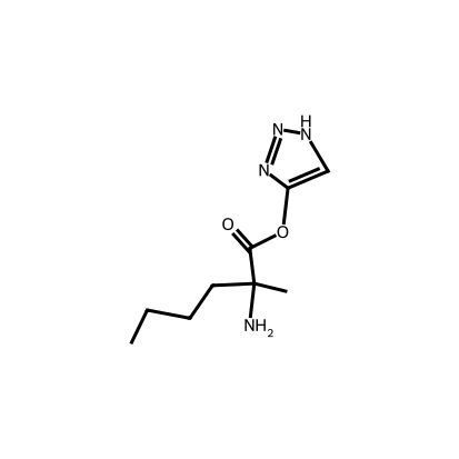 CCCCC(C)(N)C(=O)Oc1c[nH]nn1